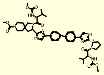 COC(=O)N[C@H](C(=O)N1CC2(CCN(C(=O)OC)CC2)CC1c1nc(-c2ccc(-c3ccc(-c4c[nH]c([C@@H]5CCCN5C(=O)[C@@H](NC(=O)OC)C(C)C)n4)cc3)cc2)c[nH]1)C(C)C